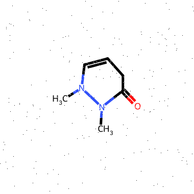 CN1C=CCC(=O)N1C